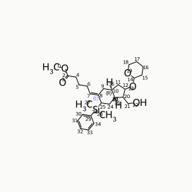 COC(=O)CCC/C=C1\C[C@@H]2CC(OC3CCCCO3)C(CO)[C@@H]2CC1[Si](C)(C)c1ccccc1